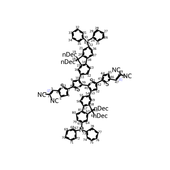 [C-]#[N+]/C(C#N)=C\c1ccc(-c2cc(-c3ccc4c(c3)C(CCCCCCCCCC)(CCCCCCCCCC)c3cc(N(c5ccccc5)c5ccccc5)ccc3-4)c(-c3sc(-c4ccc(/C=C(\C#N)[N+]#[C-])s4)cc3-c3ccc4c(c3)C(CCCCCCCCCC)(CCCCCCCCCC)c3cc(N(c5ccccc5)c5ccccc5)ccc3-4)s2)s1